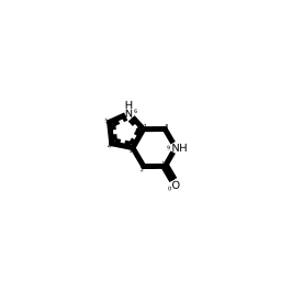 O=C1Cc2cc[nH]c2CN1